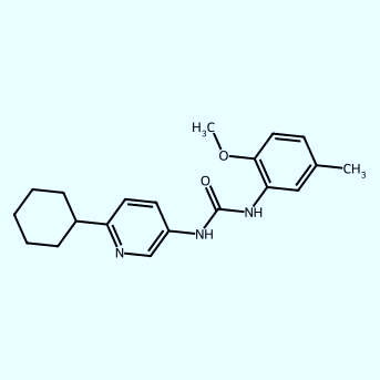 COc1ccc(C)cc1NC(=O)Nc1ccc(C2CCCCC2)nc1